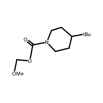 COCOC(=O)N1CCC(C(C)(C)C)CC1